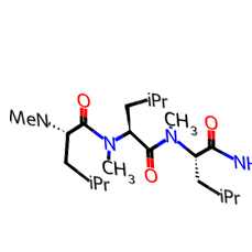 CN[C@@H](CC(C)C)C(=O)N(C)[C@@H](CC(C)C)C(=O)N(C)[C@@H](CC(C)C)C(N)=O